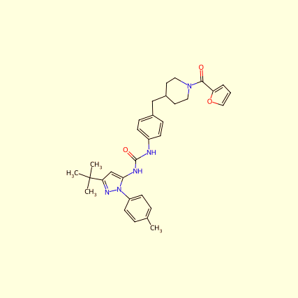 Cc1ccc(-n2nc(C(C)(C)C)cc2NC(=O)Nc2ccc(CC3CCN(C(=O)c4ccco4)CC3)cc2)cc1